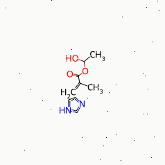 C=C(C)C(=O)OC(C)O.c1c[nH]cn1